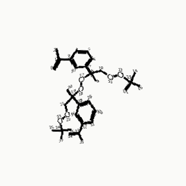 C=C(C)c1cccc(C(C)(COOC(C)(C)C)OOC(C)(COOC(C)(C)C)c2cccc(C(=C)C)c2)c1